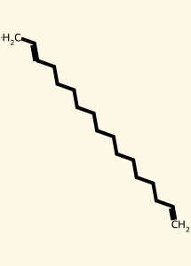 [CH2]C=CCCCCCCCCCCCCC=C